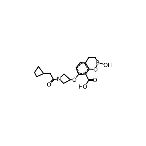 O=C(O)c1c(OC2CN(C(=O)CC3CCC3)C2)ccc2c1OB(O)CC2